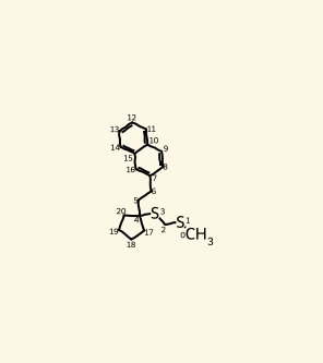 CSCSC1(CCc2ccc3ccccc3c2)CCCC1